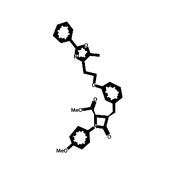 COC(=O)[C@H]1[C@@H](Cc2cccc(OCCc3nc(-c4ccccc4)oc3C)c2)C(=O)N1c1ccc(OC)cc1